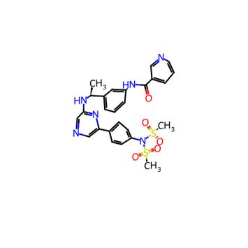 C[C@H](Nc1cncc(-c2ccc(N(S(C)(=O)=O)S(C)(=O)=O)cc2)n1)c1cccc(NC(=O)c2cccnc2)c1